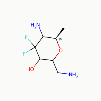 C[C@H]1OC(CN)C(O)C(F)(F)C1N